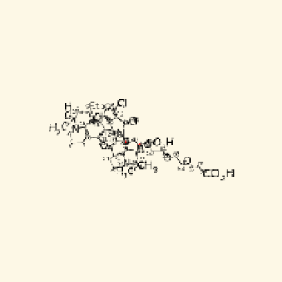 CCC1=CC(C)(C)N2CCCc3c4c(cc1c32)C1(c2cc3c5c(c2O4)CCCN5C(C)(C)C=C3CS(=O)(=O)O)c2c(Cl)ccc(Cl)c2C(=O)N1OCCOCCOCCOCCC(=O)O